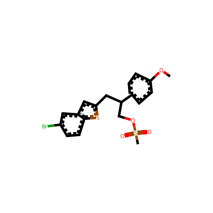 COc1ccc(C(COS(C)(=O)=O)Cc2cc3cc(Br)ccc3s2)cc1